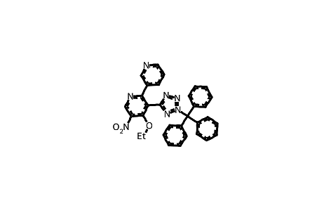 CCOc1c([N+](=O)[O-])cnc(-c2cccnc2)c1-c1nnn(C(c2ccccc2)(c2ccccc2)c2ccccc2)n1